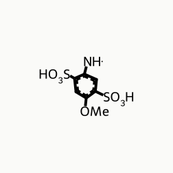 COc1cc(S(=O)(=O)O)c([NH])cc1S(=O)(=O)O